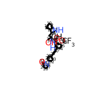 CC(CO)(Cc1c[nH]c2ccccc12)NC(=O)c1cc(C#Cc2ccc(N3CCCC3=O)cc2)ccc1OC(F)(F)F